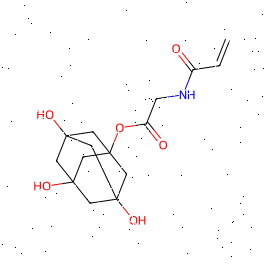 C=CC(=O)NCC(=O)OC12CC3(O)CC(O)(CC(O)(C3)C1)C2